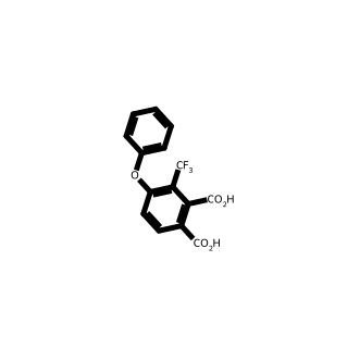 O=C(O)c1ccc(Oc2ccccc2)c(C(F)(F)F)c1C(=O)O